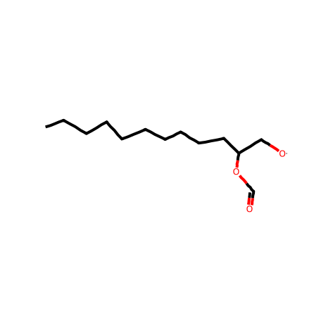 CCCCCCCCCCC(C[O])OC=O